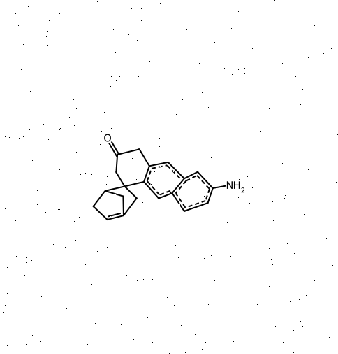 Nc1ccc2cc3c(cc2c1)CC(=O)CC31CC2=CCC1C2